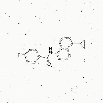 O=C(Nc1ccnc2c(C3CC3)cccc12)c1ccc(F)cc1